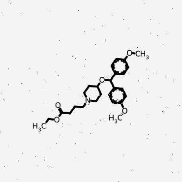 CCOC(=O)CCCN1CCC(OC(c2ccc(OC)cc2)c2ccc(OC)cc2)CC1